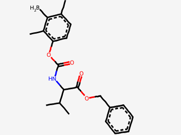 Bc1c(C)ccc(OC(=O)NC(C(=O)OCc2ccccc2)C(C)C)c1C